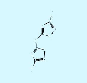 Cc1noc(Nc2nc(C)ns2)n1